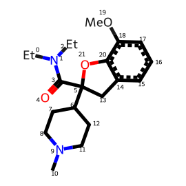 CCN(CC)C(=O)C1(C2CCN(C)CC2)Cc2cccc(OC)c2O1